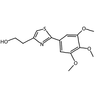 COc1cc(-c2nc(CCO)cs2)cc(OC)c1OC